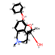 CC1[C@H](O)C[C@@H]2Oc3c(Oc4ccccc4)ccc4c3[C@]12CCN(C)C4